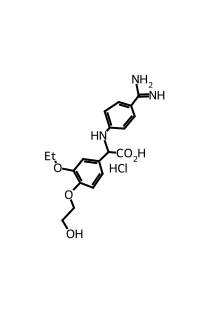 CCOc1cc(C(Nc2ccc(C(=N)N)cc2)C(=O)O)ccc1OCCO.Cl